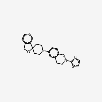 c1ccc2c(c1)COC21CCN(c2ccc3c(c2)CCN(c2nccs2)S3)CC1